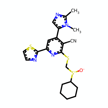 Cc1ncc(-c2cc(-c3nccs3)nc(SC[S+]([O-])C3CCCCC3)c2C#N)n1C